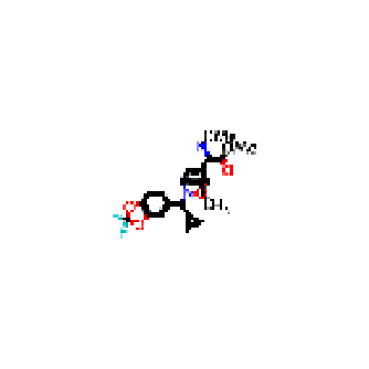 CON=C(C(=O)OC)c1cc2cc(C)c1ON2C(c1ccc2c(c1)OC(F)(F)O2)C1CC1